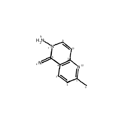 Cc1ccc2c(=[N])n(N)ccc2n1